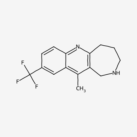 Cc1c2c(nc3ccc(C(F)(F)F)cc13)CCCNC2